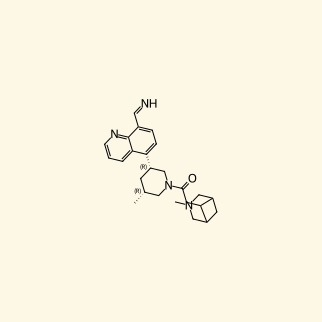 C[C@@H]1C[C@H](c2ccc(C=N)c3ncccc23)CN(C(=O)CC2C3CC2CN(C)C3)C1